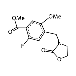 COC(=O)c1cc(OC)c(CN2CCOC2=O)cc1F